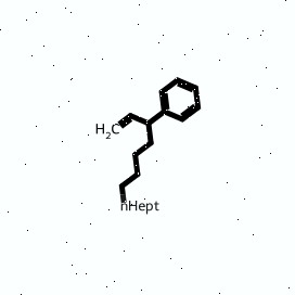 C=CC(CCCCCCCCCCC)c1ccccc1